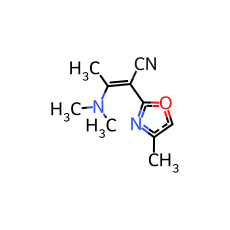 CC(=C(C#N)c1nc(C)co1)N(C)C